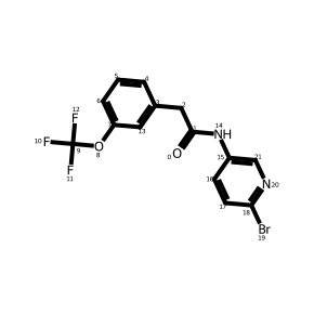 O=C(Cc1cccc(OC(F)(F)F)c1)Nc1ccc(Br)nc1